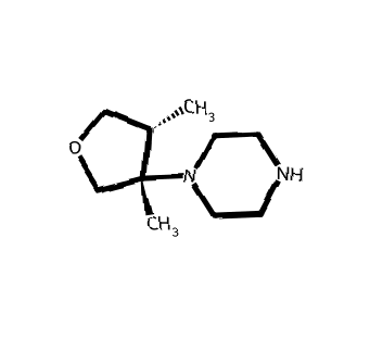 C[C@H]1COC[C@@]1(C)N1CCNCC1